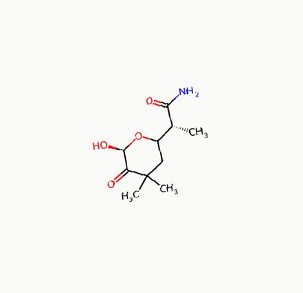 C[C@@H](C(N)=O)C1CC(C)(C)C(=O)[C@@H](O)O1